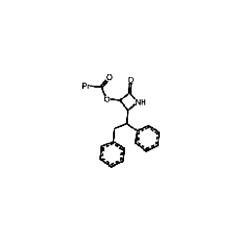 CC(C)C(=O)OC1C(=O)NC1C(Cc1ccccc1)c1ccccc1